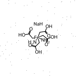 [NH2][Fe]([NH2])([CH2]C(=O)O)([CH2]C(=O)O)([CH2]C(=O)O)[CH2]C(=O)O.[NaH]